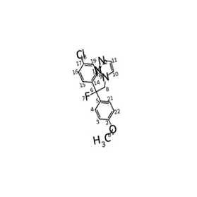 COc1ccc(C(F)(Cn2ccnn2)c2ccc(Cl)cc2)cc1